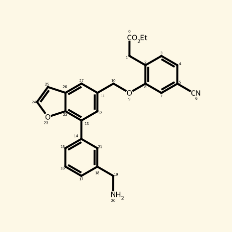 CCOC(=O)Cc1ccc(C#N)cc1OCc1cc(-c2cccc(CN)c2)c2occc2c1